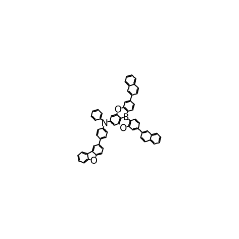 c1ccc(N(c2ccc(-c3ccc4oc5ccccc5c4c3)cc2)c2cc3c4c(c2)Oc2cc(-c5ccc6ccccc6c5)ccc2B4c2ccc(-c4ccc5ccccc5c4)cc2O3)cc1